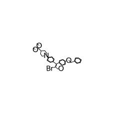 COC(OC)C1CCN(c2ccc(C3=C(Br)COc4cc(OCc5ccccc5)ccc43)cc2)CC1